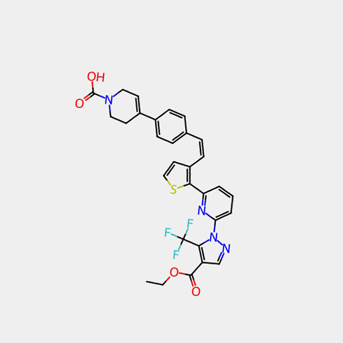 CCOC(=O)c1cnn(-c2cccc(-c3sccc3/C=C\c3ccc(C4=CCN(C(=O)O)CC4)cc3)n2)c1C(F)(F)F